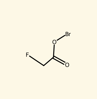 O=C(CF)OBr